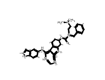 CN(C)CCN(Cc1ccccc1)C(=O)OC1CCc2c(sc3ncnc(Nc4ccc5[nH]ncc5c4)c23)C1